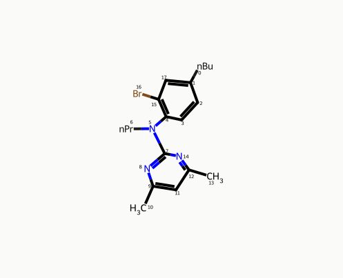 CCCCc1ccc(N(CCC)c2nc(C)cc(C)n2)c(Br)c1